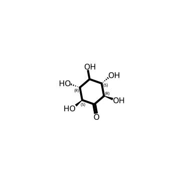 O=C1[C@@H](O)[C@H](O)C(O)[C@H](O)[C@H]1O